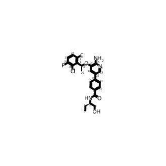 CC[C@H](CO)NC(=O)c1ccc(-c2cnc(N)c(O[C@@H](C)c3c(Cl)ccc(F)c3Cl)c2)cc1